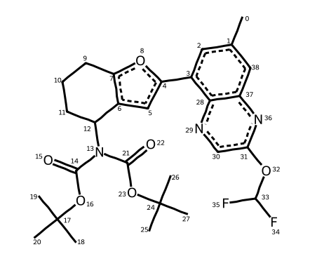 Cc1cc(-c2cc3c(o2)CCCC3N(C(=O)OC(C)(C)C)C(=O)OC(C)(C)C)c2ncc(OC(F)F)nc2c1